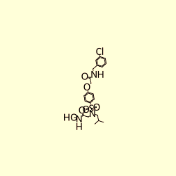 CC(C)CN(CC(=O)NO)S(=O)(=O)c1ccc(OCC(=O)NCc2cccc(Cl)c2)cc1